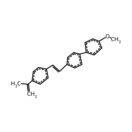 C=C(C)c1ccc(/C=C/c2ccc(-c3ccc(OC)cc3)cc2)cc1